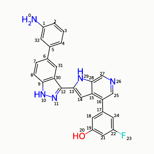 Nc1cccc(-c2ccc3[nH]nc(-c4cc5c(-c6cc(O)cc(F)c6)cncc5[nH]4)c3c2)c1